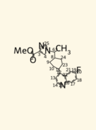 COC(=O)c1cn(C(C)C2CCC(c3ccnc4ccc(F)cc34)CC2)cn1